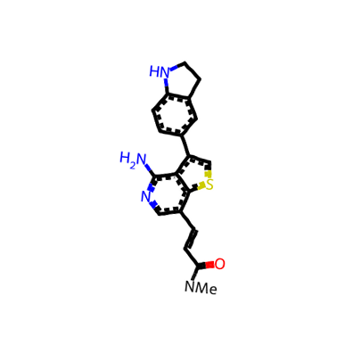 CNC(=O)C=Cc1cnc(N)c2c(-c3ccc4c(c3)CCN4)csc12